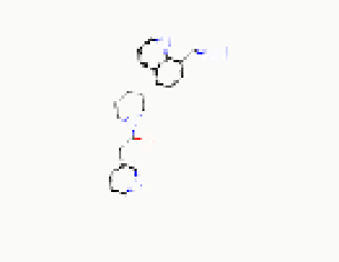 C[C@@H]1C[C@H](c2ccc(C=N)c3ncccc23)CN(C(=O)Cc2cccnc2)C1